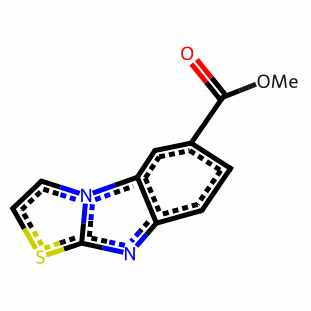 COC(=O)c1ccc2nc3sccn3c2c1